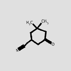 CC1(C)CC(=O)CC(C#N)C1